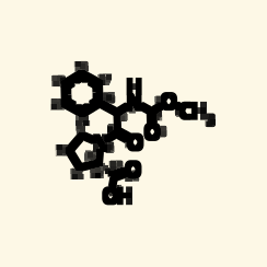 COC(=O)NC(C(=O)N1CCC[C@H]1C(=O)O)c1ccccc1